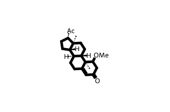 COC1CC(=O)C=C2CC[C@H]3[C@@H]4CC[C@H](C(C)=O)[C@@]4(C)CC[C@@H]3[C@]21C